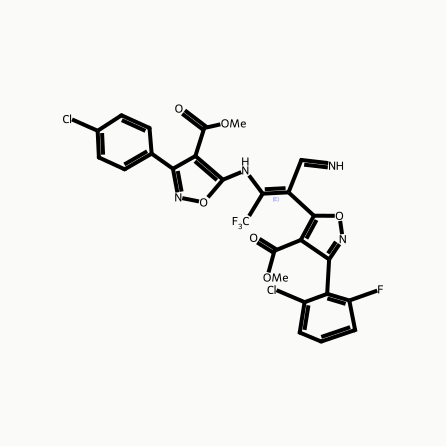 COC(=O)c1c(-c2ccc(Cl)cc2)noc1N/C(=C(\C=N)c1onc(-c2c(F)cccc2Cl)c1C(=O)OC)C(F)(F)F